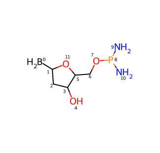 BC1CC(O)C(COP(N)N)O1